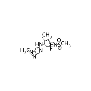 CCc1cc(CNS(C)(=O)=O)c(F)cc1Nc1cc2c(cn1)ncn2C